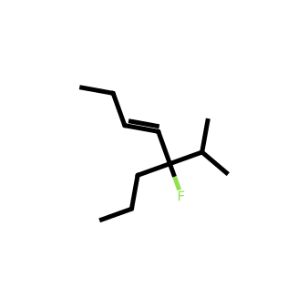 CCC=CC(F)(CCC)C(C)C